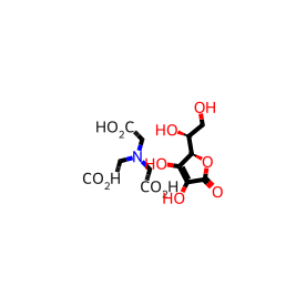 O=C(O)CN(CC(=O)O)CC(=O)O.O=C1O[C@H]([C@@H](O)CO)C(O)=C1O